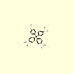 CCNc1ccc(C(c2ccc(N(CC)CC)cc2)(c2ccc(N(CC)CC)cc2)c2ccc(N(CC)CC)cc2)cc1